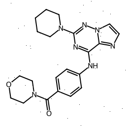 O=C(c1ccc(Nc2nc(N3CCCCC3)nn3ccnc23)cc1)N1CCOCC1